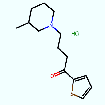 CC1CCCN(CCCC(=O)c2cccs2)C1.Cl